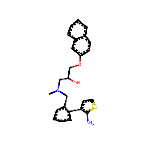 CN(Cc1ccccc1-c1ccsc1N)CC(O)COc1ccc2ccccc2c1